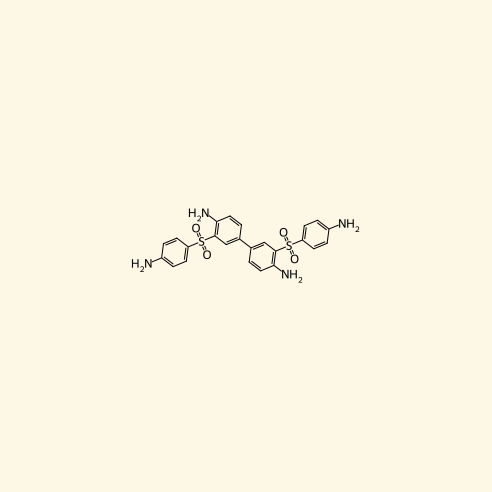 Nc1ccc(S(=O)(=O)c2cc(-c3ccc(N)c(S(=O)(=O)c4ccc(N)cc4)c3)ccc2N)cc1